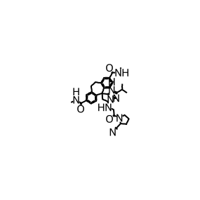 CNC(=O)c1ccc2c(c1)CCc1cc(C(=O)NC)ccc1C2(CCNCC(=O)N1CCCC1C#N)c1nnc(C(C)C)[nH]1